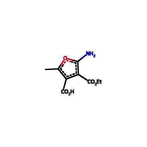 CCOC(=O)c1c(N)oc(C)c1C(=O)O